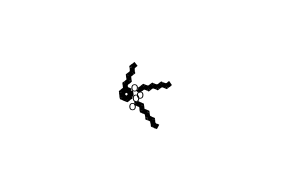 CCCCCCCC(=O)Oc1cccc(CCCCCC)c1OC(=O)CCCCCCC